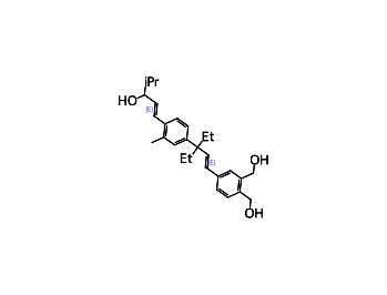 CCC(/C=C/c1ccc(CO)c(CO)c1)(CC)c1ccc(/C=C/C(O)C(C)C)c(C)c1